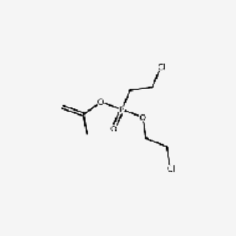 C=C(C)OP(=O)(CCCl)OCCCl